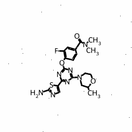 CC1CN(c2nc(Oc3ccc(C(=O)N(C)C)cc3F)nc(-c3cnc(N)s3)n2)CCO1